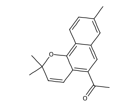 CC(=O)c1cc2cc(C)ccc2c2c1C=CC(C)(C)O2